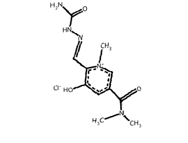 CN(C)C(=O)c1cc(O)c(C=NNC(N)=O)[n+](C)c1.[Cl-]